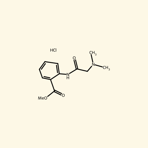 COC(=O)c1ccccc1NC(=O)CN(C)C.Cl